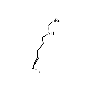 C/C=C/CCCNCCCCC